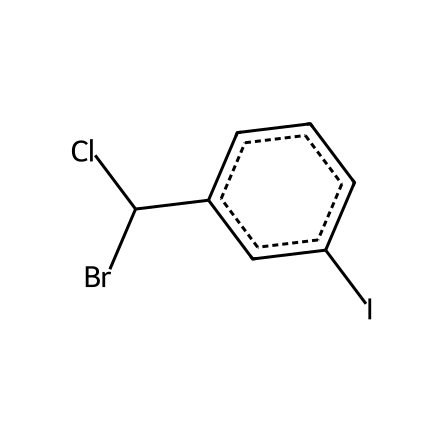 ClC(Br)c1cccc(I)c1